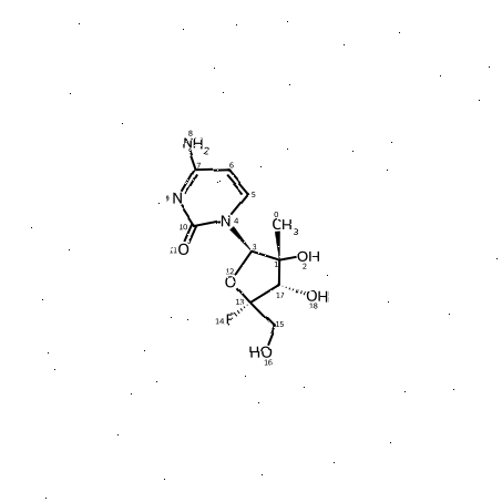 C[C@]1(O)[C@H](n2ccc(N)nc2=O)O[C@](F)(CO)[C@H]1O